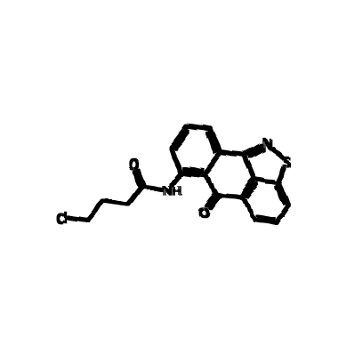 O=C(CCCCl)Nc1cccc2c1C(=O)c1cccc3snc-2c13